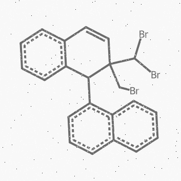 BrCC1(C(Br)Br)C=Cc2ccccc2C1c1cccc2ccccc12